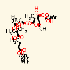 CC(=O)O.CC(=O)O.CC(C)C(=O)O.CCC(=O)O.CCCC(=O)O.CCCCC(=O)O.O=CO.[Mn].[Mn].[Mn].[Mn].[Mn].[Mn]